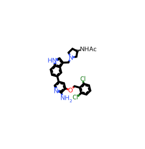 CC(=O)N[C@@H]1CCN(Cc2c[nH]c3ccc(-c4cnc(N)c(OCc5c(Cl)cccc5Cl)c4)cc23)C1